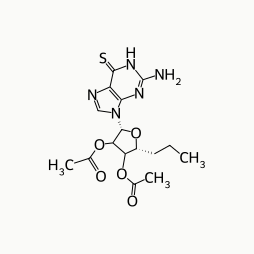 CCC[C@H]1O[C@@H](n2cnc3c(=S)[nH]c(N)nc32)C(OC(C)=O)C1OC(C)=O